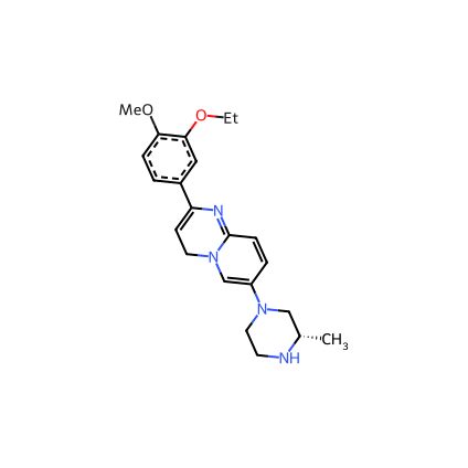 CCOc1cc(C2=CCN3C=C(N4CCN[C@@H](C)C4)C=CC3=N2)ccc1OC